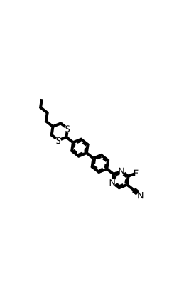 CCCCC1CSC(c2ccc(-c3ccc(-c4ncc(C#N)c(F)n4)cc3)cc2)SC1